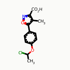 Cc1c(C(=O)O)noc1-c1ccc(OC(C)Cl)cc1